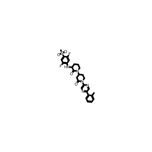 Cc1ccccc1-c1cnc(N2CCC(N3CCCC(Nc4cc(F)c(S(C)(=O)=O)cc4F)C3=O)CC2=O)cn1